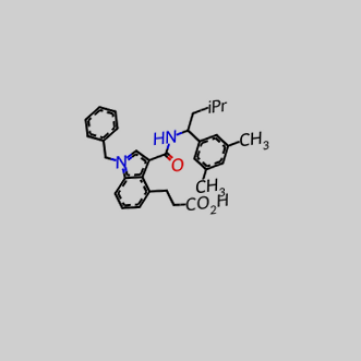 Cc1cc(C)cc(C(CC(C)C)NC(=O)c2cn(Cc3ccccc3)c3cccc(CCC(=O)O)c23)c1